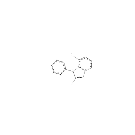 CC1=Cc2cccc(C(C)(C)C)c2C1c1ccccc1